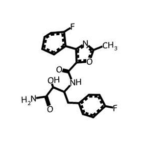 Cc1nc(-c2ccccc2F)c(C(=O)NC(Cc2ccc(F)cc2)C(O)C(N)=O)o1